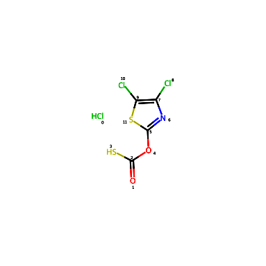 Cl.O=C(S)Oc1nc(Cl)c(Cl)s1